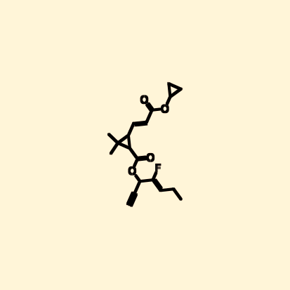 C#CC(OC(=O)C1C(C=CC(=O)OC2CC2)C1(C)C)C(F)=CCC